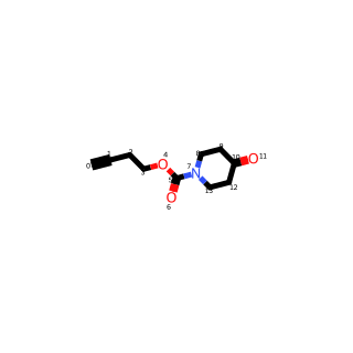 C#CCCOC(=O)N1CCC(=O)CC1